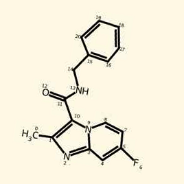 Cc1nc2cc(F)ccn2c1C(=O)NCc1ccccc1